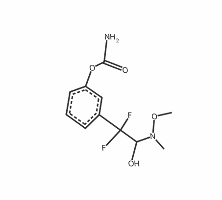 CON(C)C(O)C(F)(F)c1cccc(OC(N)=O)c1